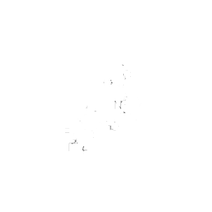 CC(C)OC(=O)c1cccc(Oc2cccc(C(F)(F)F)c2)n1